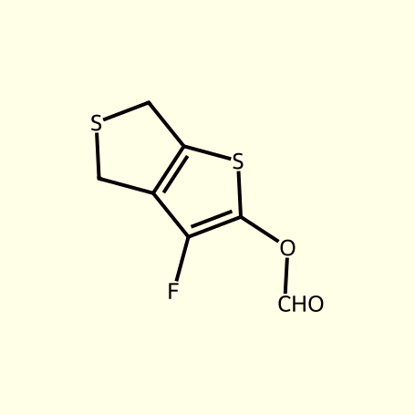 O=COc1sc2c(c1F)CSC2